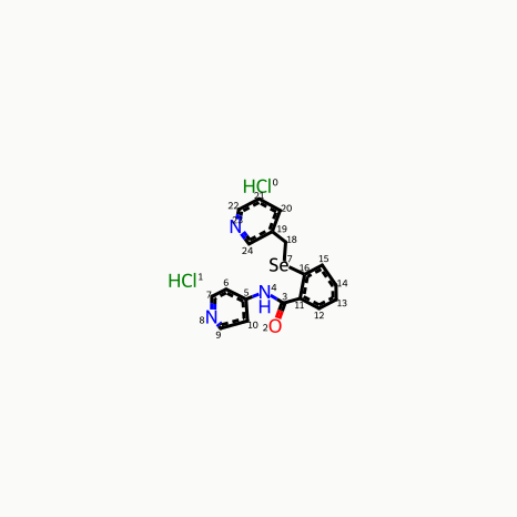 Cl.Cl.O=C(Nc1ccncc1)c1ccccc1[Se]Cc1cccnc1